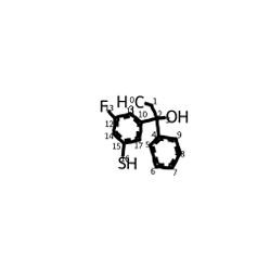 CCC(O)(c1ccccc1)c1cc(F)cc(S)c1